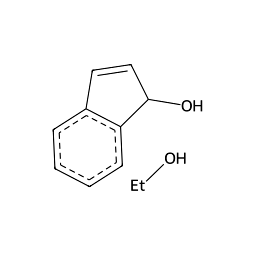 CCO.OC1C=Cc2ccccc21